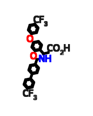 O=C(O)CC(NC(=O)c1ccc(-c2ccc(C(F)(F)F)cc2)cc1)c1ccc(Oc2ccc(C(F)(F)F)cc2)cc1